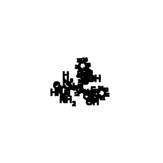 Nc1nc2c(c(=O)[nH]1)NCN2[C@@H]1C[C@H](COP(=O)(O)Oc2ccccc2F)[C@H]1COP(=O)(O)Oc1ccccc1F